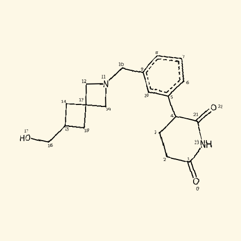 O=C1CCC(c2cccc(CN3CC4(CC(CO)C4)C3)c2)C(=O)N1